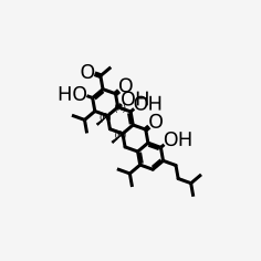 CC(=O)C1=C(O)C(C(C)C)[C@@]2(C)C[C@@]3(C)Cc4c(C(C)C)cc(CCC(C)C)c(O)c4C(=O)C3=C(O)[C@@]2(O)C1=O